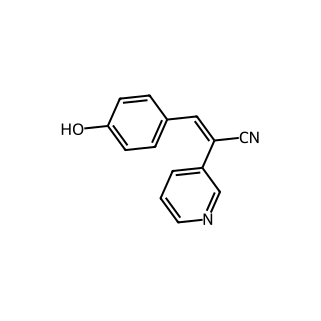 N#C/C(=C/c1ccc(O)cc1)c1cccnc1